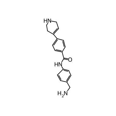 NCc1ccc(NC(=O)c2ccc(C3=CCNCC3)cc2)cc1